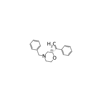 C=C(c1ccccc1)[C@H]1CN(Cc2ccccc2)CCO1